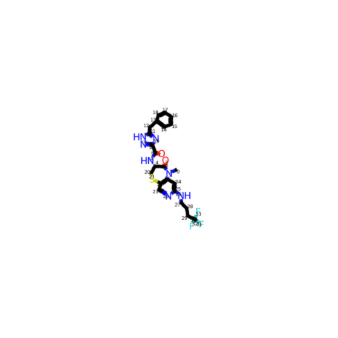 CN1C(=O)[C@@H](NC(=O)c2n[nH]c(Cc3ccccc3)n2)CSc2cnc(NCCCC(F)(F)F)cc21